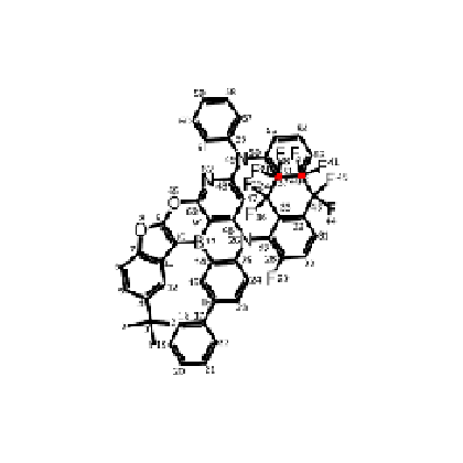 CC(C)(C)c1ccc2oc3c(c2c1)B1c2cc(-c4ccccc4)ccc2N(c2c(F)ccc4c2C(F)(F)C(F)(F)C(F)(F)C4(F)F)c2cc(N(c4ccccc4)c4ccccc4)nc(c21)O3